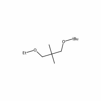 CCOCC(C)(C)COC(C)(C)C